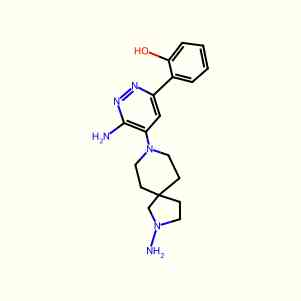 Nc1nnc(-c2ccccc2O)cc1N1CCC2(CCN(N)C2)CC1